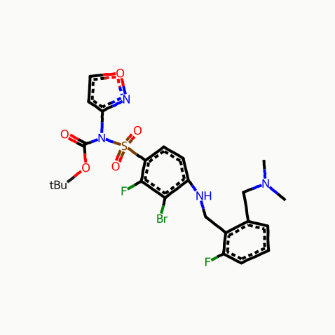 CN(C)Cc1cccc(F)c1CNc1ccc(S(=O)(=O)N(C(=O)OC(C)(C)C)c2ccon2)c(F)c1Br